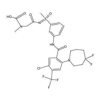 CN(CC(=O)N=S(C)(=O)c1cccc(NC(=O)c2cc(Cl)c(C(F)(F)F)cc2N2CCCC(F)(F)CC2)c1)C(=O)O